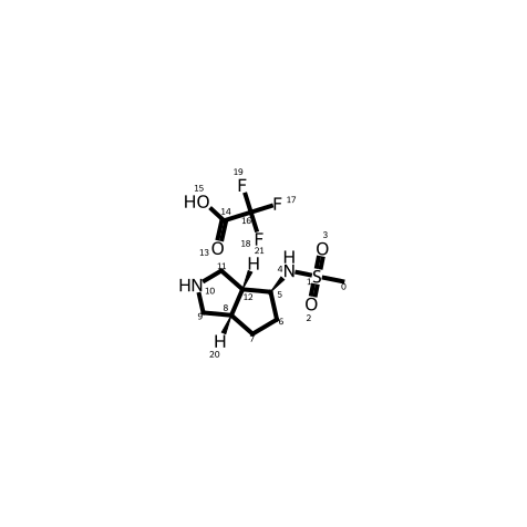 CS(=O)(=O)N[C@H]1CC[C@@H]2CNC[C@@H]21.O=C(O)C(F)(F)F